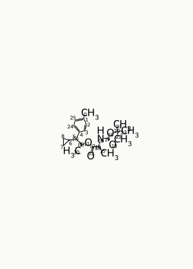 Cc1ccc([C@H](C2CC2)[C@H](C)OC(=O)[C@H](C)NC(=O)OC(C)(C)C)cc1